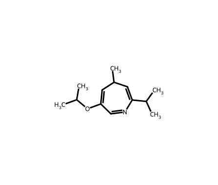 CC1C=C(OC(C)C)C=NC(C(C)C)=C1